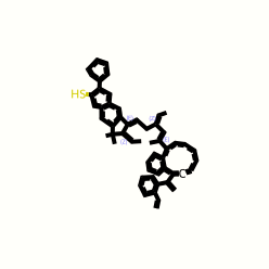 C=Cc1ccccc1C(=C)c1ccccccc(/C(C)=C/C(=C\C)C/C=C2\C(=C/C)C(C)(C)c3cc4cc(S)c(-c5ccccc5)cc4cc32)c2ccccc12